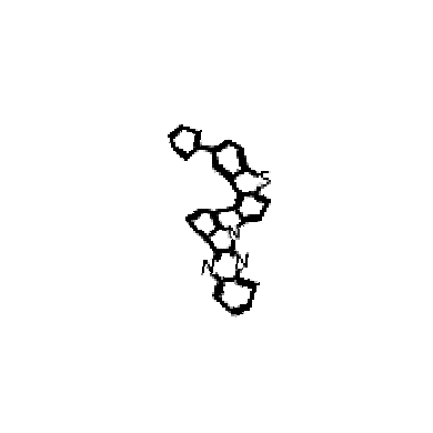 c1ccc(-c2ccc3sc4ccc5c(c6cccc7c8nc9ccccc9nc8n5c76)c4c3c2)cc1